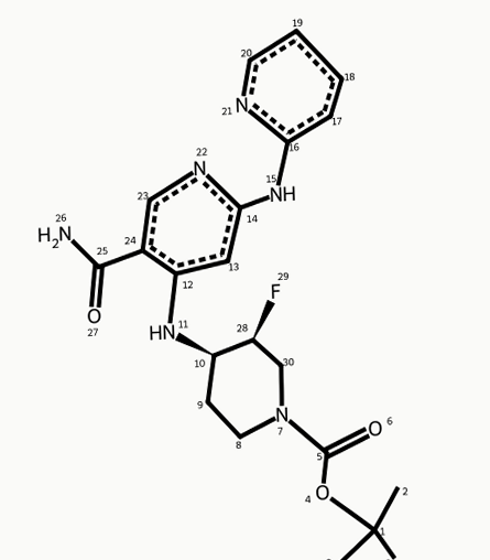 CC(C)(C)OC(=O)N1CC[C@@H](Nc2cc(Nc3ccccn3)ncc2C(N)=O)[C@@H](F)C1